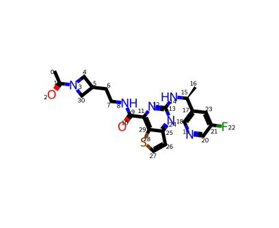 CC(=O)N1CC(CCNC(=O)c2nc(N[C@@H](C)c3cncc(F)c3)nc3ccsc23)C1